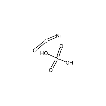 O=S(=O)(O)O.O=[C]=[Ni]